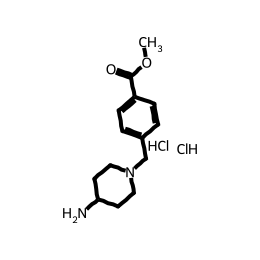 COC(=O)c1ccc(CN2CCC(N)CC2)cc1.Cl.Cl